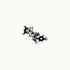 Cc1cc(C)nc(NC(=O)NS(=O)(=O)N(c2ccc(F)cc2)C(C)C)n1